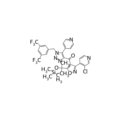 CC(C)(O[Si](C)(C)C)c1onc(-c2ccncc2Cl)c1C(=O)c1nnn(Cc2cc(C(F)(F)F)cc(C(F)(F)F)c2)c1-c1ccncc1